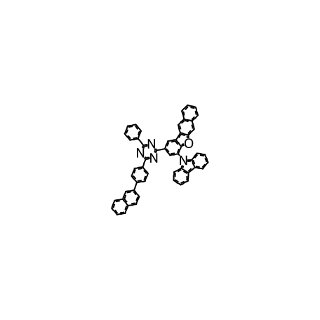 c1ccc(-c2nc(-c3ccc(-c4ccc5ccccc5c4)cc3)nc(-c3cc(-n4c5ccccc5c5ccccc54)c4oc5cc6ccccc6cc5c4c3)n2)cc1